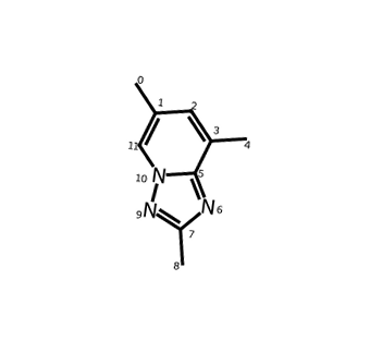 Cc1cc(C)c2nc(C)nn2c1